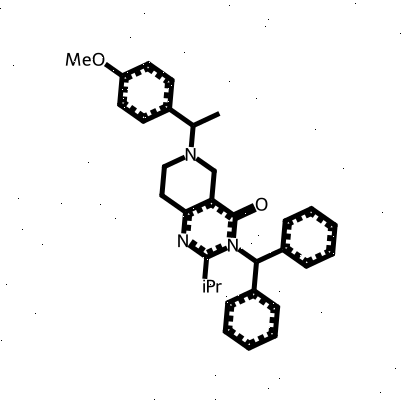 COc1ccc(C(C)N2CCc3nc(C(C)C)n(C(c4ccccc4)c4ccccc4)c(=O)c3C2)cc1